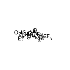 CCC(=O)CN(C=O)c1ccc2n(c1=O)CC(C)N(Cc1cc(C)cc(C(F)(F)F)c1)C2=O